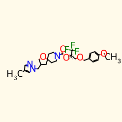 COc1ccc(COC[C@@H](OC(=O)N2CCC3(CC2)CC(Cn2cc(C)cn2)CO3)C(F)(F)F)cc1